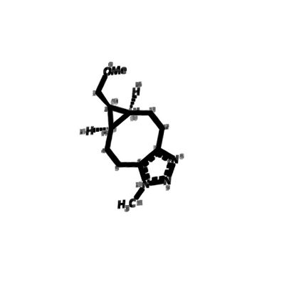 COC[C@@H]1[C@@H]2CCc3c(nnn3C)CC[C@@H]21